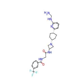 NCNc1cccc([C@H]2CC[C@@H](N3CC(NC(=O)CNC(=O)c4cccc(C(F)(F)F)c4)C3)CC2)n1